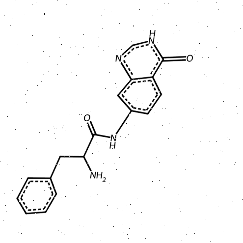 NC(Cc1ccccc1)C(=O)Nc1ccc2c(=O)[nH]cnc2c1